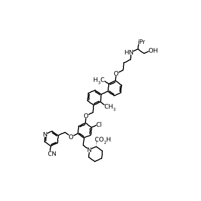 Cc1c(COc2cc(OCc3cncc(C#N)c3)c(CN3CCCC[C@H]3C(=O)O)cc2Cl)cccc1-c1cccc(OCCCNC(CO)C(C)C)c1C